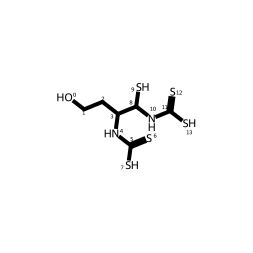 OCCC(NC(=S)S)C(S)NC(=S)S